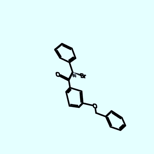 O=C(c1cccc(OCc2ccccc2)c1)[C@@H](Br)c1ccccc1